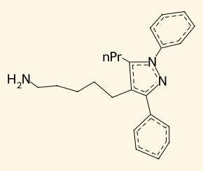 CCCc1c(CCCCCN)c(-c2ccccc2)nn1-c1ccccc1